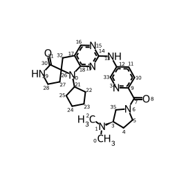 CN(C)[C@@H]1CCN(C(=O)c2ccc(Nc3ncc4c(n3)N(C3CCCC3)C3(CCNC3=O)C4)cn2)C1